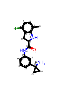 Cc1ccc(F)c2c1NC(C(=O)Nc1cccc(C3(N)CC3)c1)C2